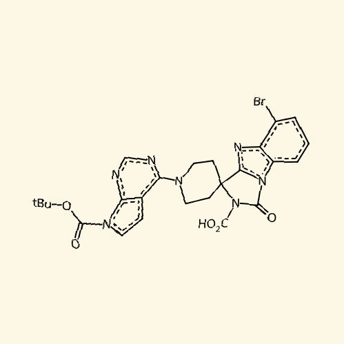 CC(C)(C)OC(=O)n1ccc2c(N3CCC4(CC3)c3nc5c(Br)cccc5n3C(=O)N4C(=O)O)ncnc21